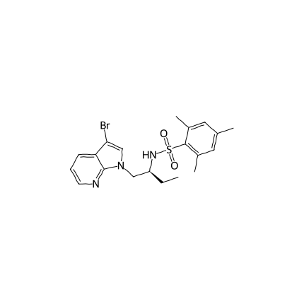 CC[C@@H](Cn1cc(Br)c2cccnc21)NS(=O)(=O)c1c(C)cc(C)cc1C